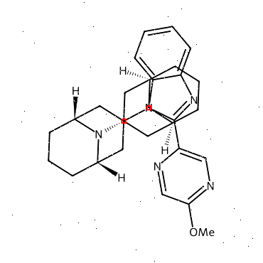 COc1cnc(-c2nc3ccccc3n2C2C[C@H]3CCC[C@@H](C2)N3[C@H]2C[C@@H]3CCC[C@@H](C3)C2)cn1